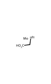 CCCCC(=O)O.[Mo]